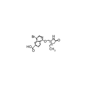 CC[C@@H]1CC(=O)N[C@@H]1COc1ncc(Br)c2cc(C(=O)O)ccc12